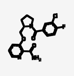 NC(=O)c1ncccc1OC[C@H]1CCCN1C(=O)c1ccc(F)c(Cl)c1